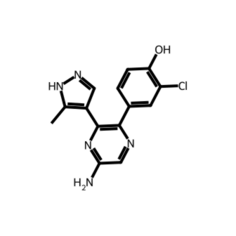 Cc1[nH]ncc1-c1nc(N)cnc1-c1ccc(O)c(Cl)c1